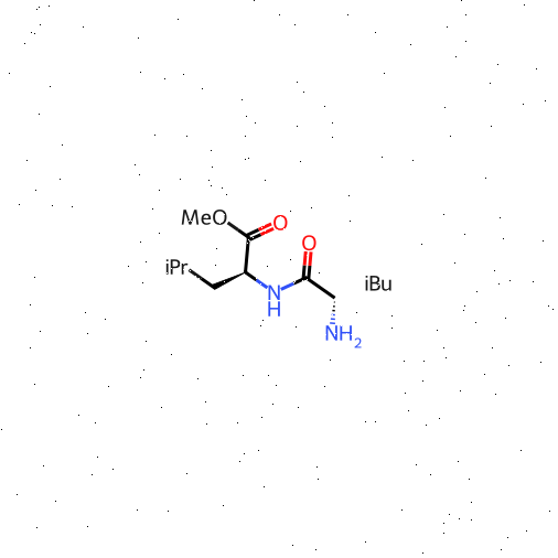 CC[C@H](C)[C@H](N)C(=O)N[C@@H](CC(C)C)C(=O)OC